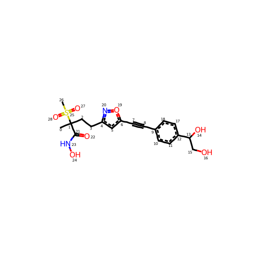 CC(CCc1cc(C#Cc2ccc(C(O)CO)cc2)on1)(C(=O)NO)S(C)(=O)=O